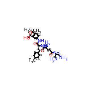 CC1(C)OB(O)c2cc(NC(=O)[C@@H](CCc3ccc(C(F)(F)F)cc3)NC(=O)[C@@H](N)CCC(=O)NC(CN)CN)ccc21